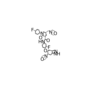 O=C(Nc1ccc(Oc2cc3cn[nH]c3cc2N2CCOCC2)c(F)c1)c1cc(CN2CCOCC2)cn(-c2ccc(F)cc2)c1=O